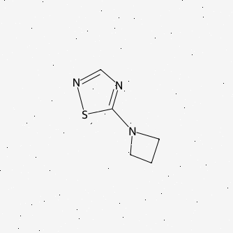 c1nsc(N2CCC2)n1